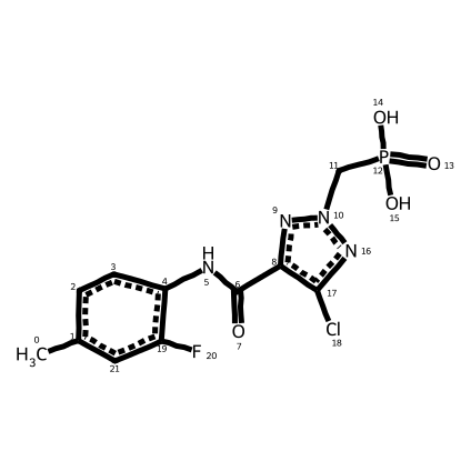 Cc1ccc(NC(=O)c2nn(CP(=O)(O)O)nc2Cl)c(F)c1